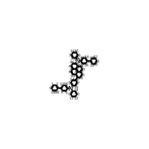 c1ccc(-c2ccc(N(c3ccccc3)c3ccc(-c4ccc5ccc6c(N(c7ccccc7)c7ccc(-c8ccccc8)cc7)ccc7ccc4c5c76)cc3)cc2)cc1